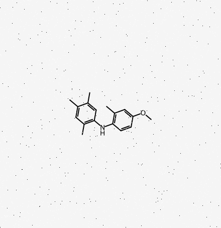 COc1ccc(Nc2cc(C)c(C)cc2C)c(C)c1